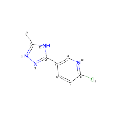 Cc1nnc(-c2ccc(Cl)nc2)[nH]1